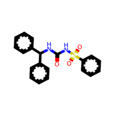 O=C(NC(c1ccccc1)c1ccccc1)NS(=O)(=O)c1ccccc1